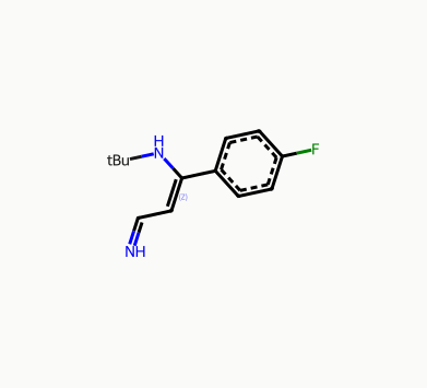 CC(C)(C)N/C(=C\C=N)c1ccc(F)cc1